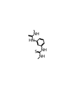 C=C(NC)Nc1cccc(NC(=S)NC)c1